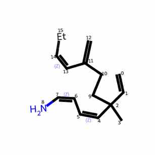 C=CC(C)(/C=C\C=C/N)CCC(=C)/C=C\CC